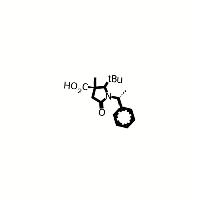 C[C@H](c1ccccc1)N1C(=O)C[C@@](C)(C(=O)O)C1C(C)(C)C